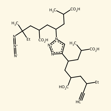 C#CC(CC)CC(CC(CC(C)C(=O)O)c1cn(C(CC(C)C(=O)O)CC(CC(C)(CC)N=[N+]=[N-])C(=O)O)nn1)C(=O)O